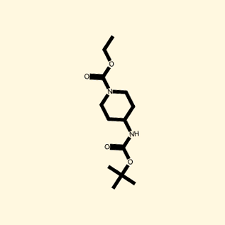 CCOC(=O)N1CCC(NC(=O)OC(C)(C)C)CC1